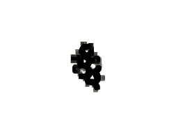 Cc1cc(C)c(C2C(=O)NC3(CCSC3)C2=O)c(C)c1